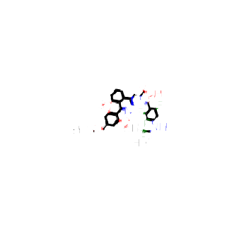 CCOCc1cc(OC)c(-c2ncc(C[C@H](NC(=O)c3c(F)cc(N[C@H](CC)C(F)(F)F)cc3F)C(=O)O)c3ccccc23)c(OC)c1